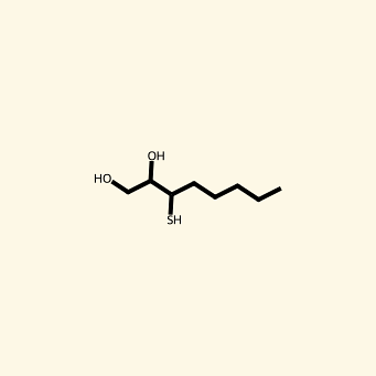 CCCCCC(S)C(O)CO